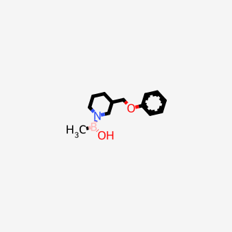 CB(O)N1CCCC(COc2ccccc2)C1